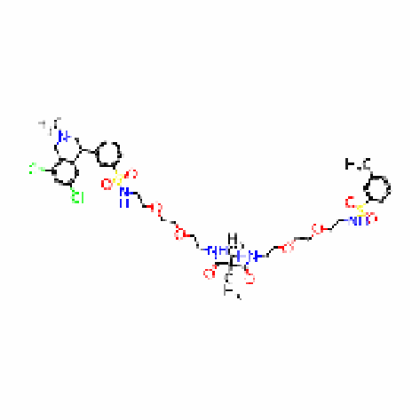 Cc1cccc(S(=O)(=O)NCCOCCOCCNC(=O)C(C)(C)C(=O)NCCOCCOCCNS(=O)(=O)c2cccc(C3CN(C)Cc4c(Cl)cc(Cl)cc43)c2)c1